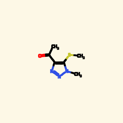 CSc1c(C(C)=O)nnn1C